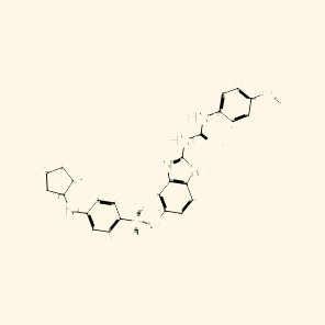 COc1ccc(NC(=O)Nc2nc3cc(OS(=O)(=O)c4ccc(NC5CCCC5)cc4)ccc3[nH]2)cc1